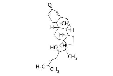 CC(C)CC[C@@H](O)[C@@H](C)[C@H]1CC[C@H]2[C@@H]3CCC4=CC(=O)CC[C@]4(C)[C@H]3CC[C@]12C